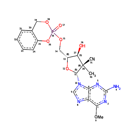 COc1nc(N)nc2c1ncn2[C@@H]1O[C@H](COP2(=O)OCc3ccccc3O2)[C@@H](O)[C@@]1(C)C#N